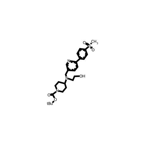 CC(C)(C)OC(=O)N1CCC(N(CCO)Cc2ccc(-c3ccc(S(C)(=O)=O)cc3)nc2)CC1